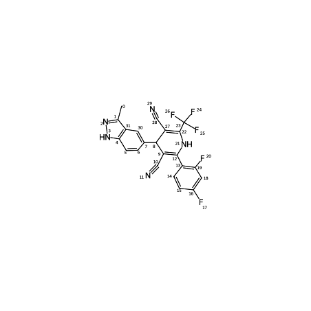 Cc1n[nH]c2ccc(C3C(C#N)=C(c4ccc(F)cc4F)NC(C(F)(F)F)=C3C#N)cc12